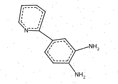 Nc1ccc(-c2ccccn2)cc1N